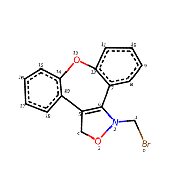 BrCN1OCC2=C1c1ccccc1Oc1ccccc12